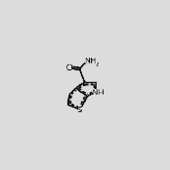 NC(=O)c1c[nH]c2sccc12